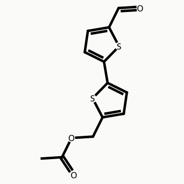 CC(=O)OCc1ccc(-c2ccc(C=O)s2)s1